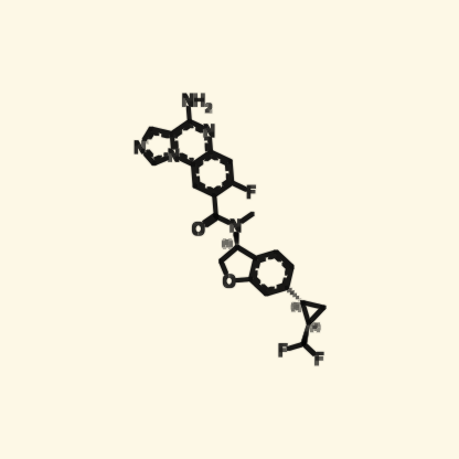 CN(C(=O)c1cc2c(cc1F)nc(N)c1cncn12)[C@@H]1COc2cc([C@@H]3C[C@H]3C(F)F)ccc21